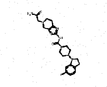 NC(=O)CN1CCc2nc(NC(=O)N3CCC(N4CCc5ccc(F)cc54)CC3)sc2C1